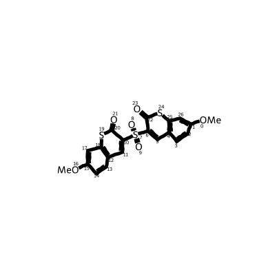 COc1ccc2cc(S(=O)(=O)c3cc4ccc(OC)cc4sc3=O)c(=O)sc2c1